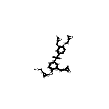 CC(C)(c1ccc(OCC2CO2)c(CC2CO2)c1)c1ccc(OC2CC2CO)c(CC2CO2)c1